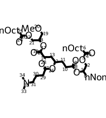 CCCCCCCCCC(COC(=O)CCCCCCCC)OC(=O)CCC(CCC(=O)OC(COC)COC(=O)CCCCCCCC)OC(=O)CCCN(C)C